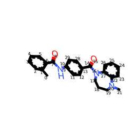 Cc1ccccc1C(=O)Nc1ccc(C(=O)N2CCCN(C)c3ccccc32)cc1